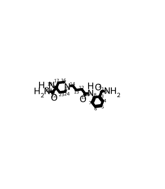 NC(=O)c1ccccc1NC(=O)CCCN1CCC(N)(C(N)=O)CC1